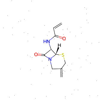 C=CC(=O)NC1C(=O)N2CC(=C)CS[C@@H]12